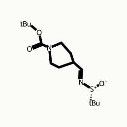 CC(C)(C)OC(=O)N1CCC(/C=N/[S@+]([O-])C(C)(C)C)CC1